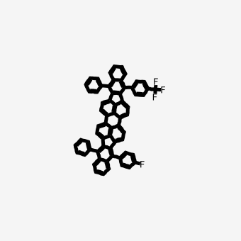 Fc1ccc(-c2c3c(c(-c4ccccc4)c4ccccc24)-c2ccc4c5ccc6c7c(ccc(c8ccc-3c2c48)c75)-c2c-6c(-c3ccccc3)c3ccccc3c2-c2ccc(C(F)(F)F)cc2)cc1